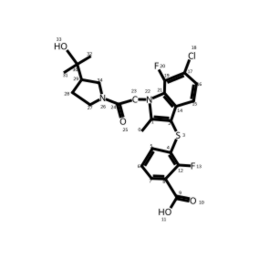 Cc1c(Sc2cccc(C(=O)O)c2F)c2ccc(Cl)c(F)c2n1CC(=O)N1CCC(C(C)(C)O)C1